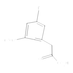 CCCCCc1cc(F)cc(CC(=O)C(=O)O)c1